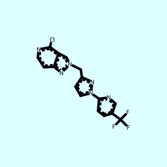 FC(F)(F)c1ccc(-n2ccc(Cn3cc4c(Cl)nccc4n3)n2)nc1